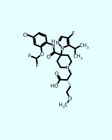 COCC[C@@H](CN1CCC(C(=O)Nc2ccc(Cl)cc2OC(F)F)(n2ncc(F)c2C(C)C)CC1)C(=O)O